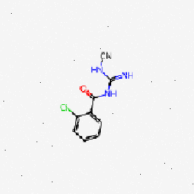 N#CNC(=N)NC(=O)c1ccccc1Cl